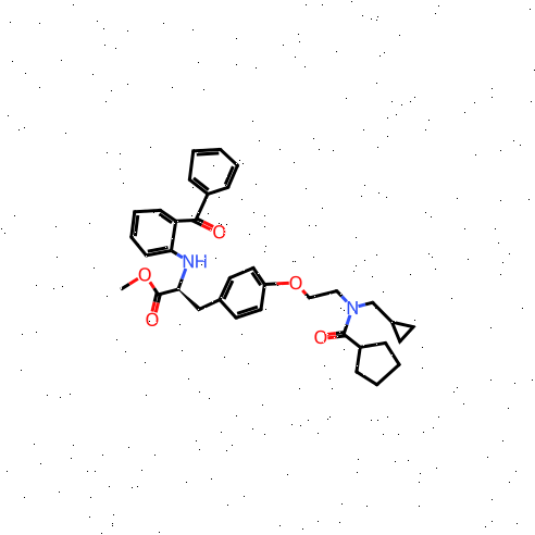 COC(=O)[C@H](Cc1ccc(OCCN(CC2CC2)C(=O)C2CCCC2)cc1)Nc1ccccc1C(=O)c1ccccc1